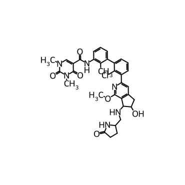 COc1nc(-c2cccc(-c3cccc(NC(=O)c4cn(C)c(=O)n(C)c4=O)c3C)c2Cl)cc2c1C(NCC1CCC(=O)N1)C(O)C2